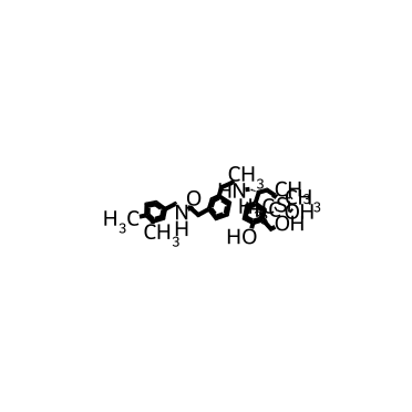 Cc1ccc(CNC(=O)Cc2cccc(C[C@@H](C)NC[C@H](CC(C)(C)[Si](C)(C)O)c3ccc(O)c(CO)c3)c2)cc1C